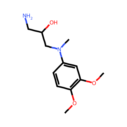 COc1ccc(N(C)CC(O)CN)cc1OC